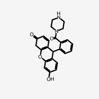 O=C1C=CC2=C(C1)Oc1cc(O)ccc1C2c1ccccc1C(=O)N1CCNCC1